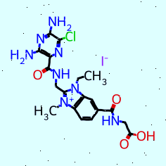 CCn1c(CNC(=O)c2nc(Cl)c(N)nc2N)[n+](C)c2ccc(C(=O)NCC(=O)O)cc21.[I-]